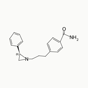 NC(=O)c1ccc(CCCN2C[C@H]2c2ccccc2)cc1